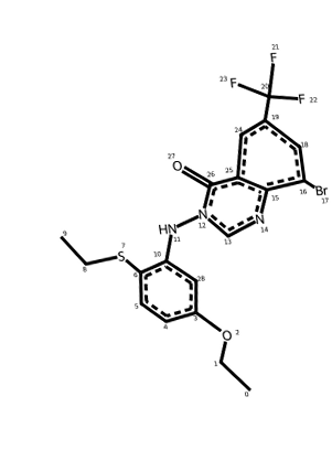 CCOc1ccc(SCC)c(Nn2cnc3c(Br)cc(C(F)(F)F)cc3c2=O)c1